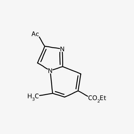 CCOC(=O)c1cc(C)n2cc(C(C)=O)nc2c1